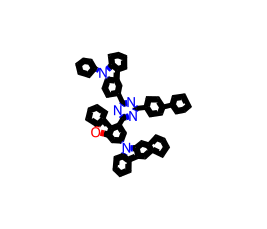 c1ccc(-c2ccc(-c3nc(-c4ccc5c(c4)c4ccccc4n5-c4ccccc4)nc(-c4cc(-n5c6ccccc6c6cc7ccccc7cc65)cc5oc6ccccc6c45)n3)cc2)cc1